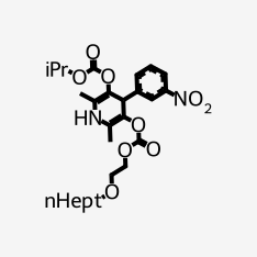 CCCCCCCOCCOC(=O)OC1=C(C)NC(C)=C(OC(=O)OC(C)C)C1c1cccc([N+](=O)[O-])c1